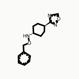 c1ccc(CON[C@H]2CC[C@H](c3ncon3)CC2)cc1